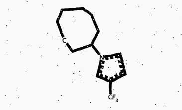 FC(F)(F)c1ccn(C2CCCCCCC2)c1